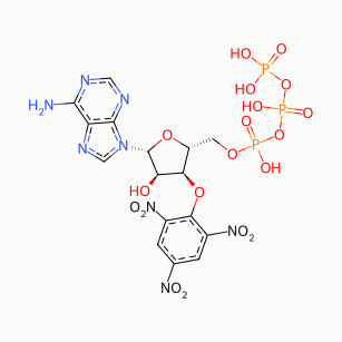 Nc1ncnc2c1ncn2[C@@H]1O[C@H](COP(=O)(O)OP(=O)(O)OP(=O)(O)O)[C@@H](Oc2c([N+](=O)[O-])cc([N+](=O)[O-])cc2[N+](=O)[O-])[C@H]1O